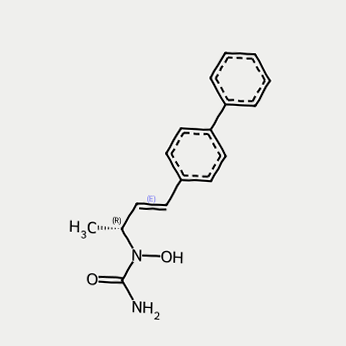 C[C@H](/C=C/c1ccc(-c2ccccc2)cc1)N(O)C(N)=O